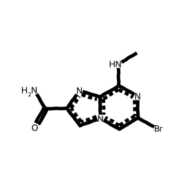 CNc1nc(Br)cn2cc(C(N)=O)nc12